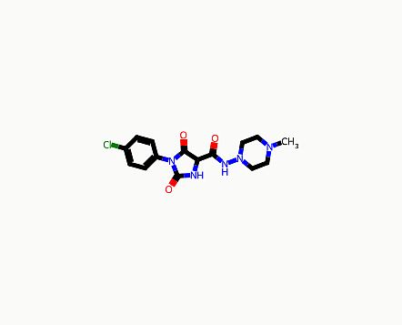 CN1CCN(NC(=O)C2NC(=O)N(c3ccc(Cl)cc3)C2=O)CC1